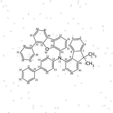 CC1(C)c2ccccc2-c2c(N(c3ccc(-c4ccccc4)cc3)c3cccc4c3oc3c(-c5ccccc5)cccc34)cccc21